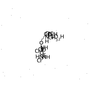 CC(N[C@@H](CCCc1ccc(CNS(=O)(=O)c2cc3c(cc2Cl)N[C@H](CCl)NS3)cc1)C(=O)O)C(=O)N1CCC[C@H]1C(=O)O